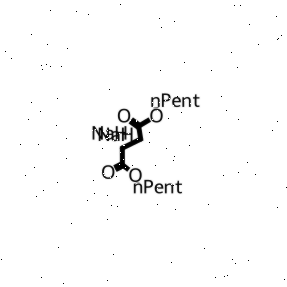 CCCCCOC(=O)CCC(=O)OCCCCC.[NaH].[NaH]